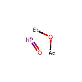 CCOC(C)=O.O=P